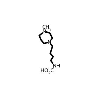 CN1CCCN(CCCCNC(=O)O)CC1